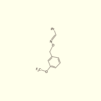 CC(C)C=NOCc1cccc(OC(F)(F)F)c1